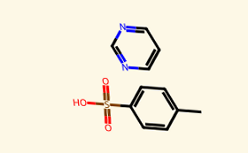 Cc1ccc(S(=O)(=O)O)cc1.c1cncnc1